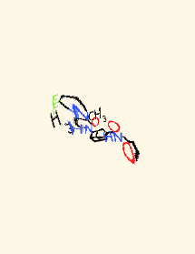 CC(C)(C(=O)NC1C2CC3CC1CC(C(=O)NCc1ccco1)(C3)C2)N1CCCC(F)(F)C1